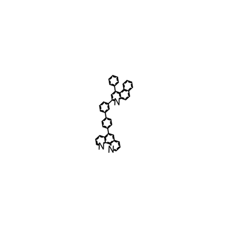 c1ccc(-c2cc(-c3cccc(-c4ccc(-c5cc6cccnc6c6ncccc56)cc4)c3)nc3ccc4ccccc4c23)cc1